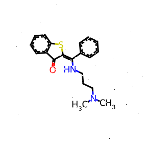 CN(C)CCCNC(=C1Sc2ccccc2C1=O)c1ccccc1